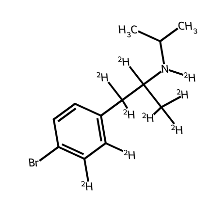 [2H]c1c(Br)ccc(C([2H])([2H])C([2H])(N([2H])C(C)C)C([2H])([2H])[2H])c1[2H]